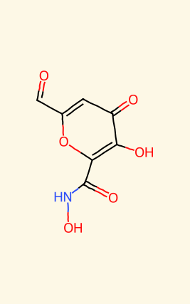 O=Cc1cc(=O)c(O)c(C(=O)NO)o1